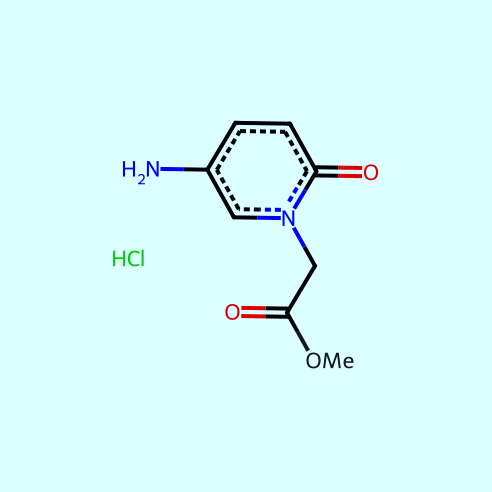 COC(=O)Cn1cc(N)ccc1=O.Cl